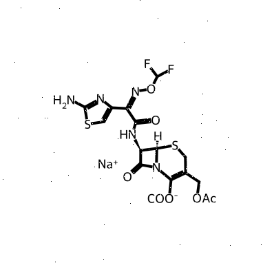 CC(=O)OCC1=C(C(=O)[O-])N2C(=O)[C@@H](NC(=O)/C(=N\OC(F)F)c3csc(N)n3)[C@H]2SC1.[Na+]